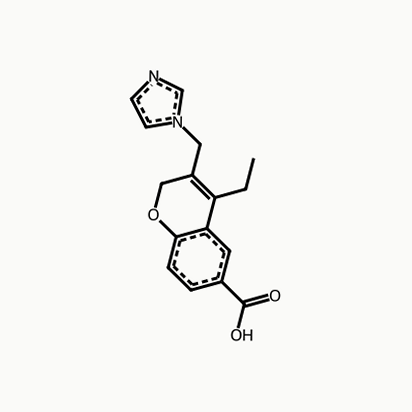 CCC1=C(Cn2ccnc2)COc2ccc(C(=O)O)cc21